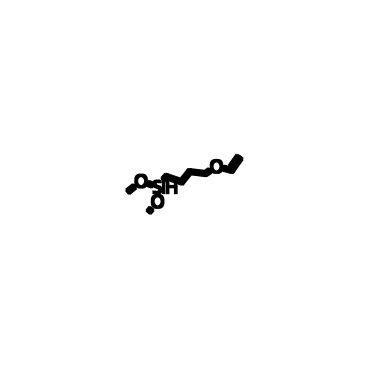 C=COCCCC[SiH](OC)OC